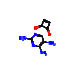 Nc1ncc(N)c(N)n1.O=c1ccc1=O